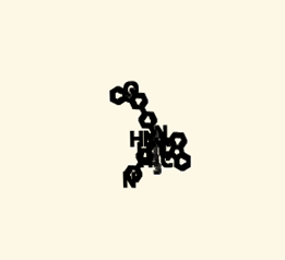 CC1(C)c2ccccc2-c2cccc(C3=NC(c4ccc(-c5ccc6oc7ccccc7c6c5)cc4)NC(c4ccc(-c5ccncc5)cc4)=N3)c21